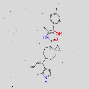 C=C/C=C(\c1cc[nH]c1C)C1CC[C@H](C(=O)N[C@@H](C)[C@H](O)c2ccc(C)cc2)C2(CC1)CC2